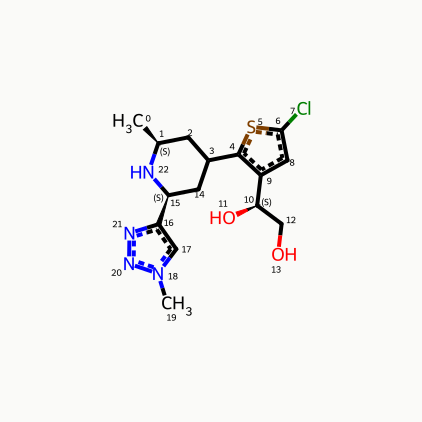 C[C@H]1CC(c2sc(Cl)cc2[C@H](O)CO)C[C@@H](c2cn(C)nn2)N1